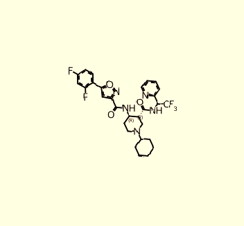 O=C(N[C@@H]1CCN(C2CCCCC2)C[C@H]1C(=O)NC(c1ccccn1)C(F)(F)F)c1cc(-c2ccc(F)cc2F)on1